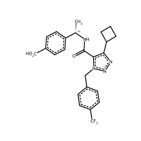 C[C@H](NC(=O)c1c(C2CCC2)nnn1Cc1ccc(C(F)(F)F)cc1)c1ccc(C(=O)O)cc1